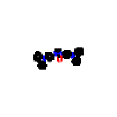 O=c1n(-c2ccc(-n3c4ccccc4c4ccccc43)cc2)ccn1-c1ccc(-n2c3ccccc3c3ccccc32)cc1